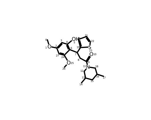 COc1cc(O)c(C(CC(=O)N2CC(C)CC(C)C2)c2cccs2)c(OC)c1